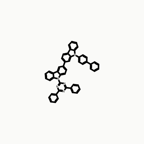 c1ccc(-c2ccc(-n3c4ccccc4c4ccc(-c5ccc6c(c5)c5ccccc5n6-c5nc(-c6ccccc6)nc(-c6ccccc6)n5)cc43)cc2)cc1